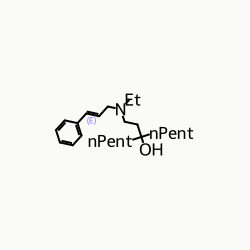 CCCCCC(O)(CCCCC)CCN(CC)C/C=C/c1ccccc1